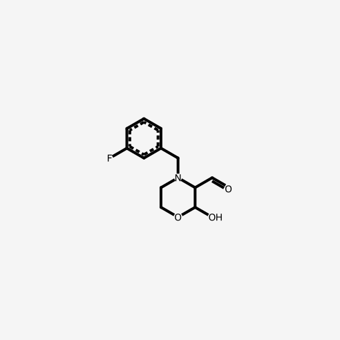 O=CC1C(O)OCCN1Cc1cccc(F)c1